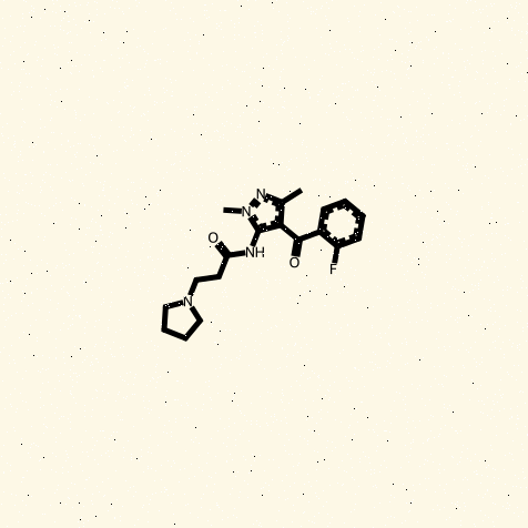 Cc1nn(C)c(NC(=O)CCN2CCCC2)c1C(=O)c1ccccc1F